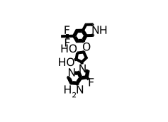 CC(F)(F)c1cc2c(c(OC3CC(n4cc(F)c5c(N)ccnc54)C(O)C3O)c1)CNCC2